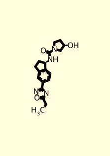 CCc1nc(-c2ccc3c(c2)CC[C@H]3NC(=O)N2CC[C@@H](O)C2)no1